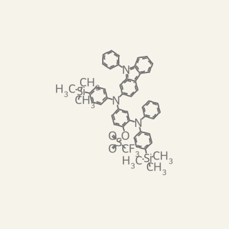 C[Si](C)(C)c1ccc(N(c2ccc(OS(=O)(=O)C(F)(F)F)c(N(c3ccccc3)c3ccc([Si](C)(C)C)cc3)c2)c2ccc3c4ccccc4n(-c4ccccc4)c3c2)cc1